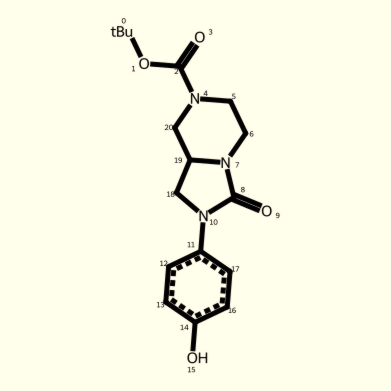 CC(C)(C)OC(=O)N1CCN2C(=O)N(c3ccc(O)cc3)CC2C1